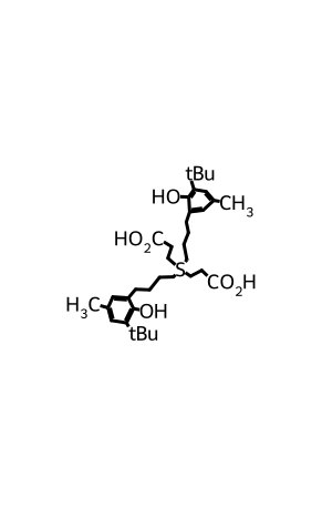 Cc1cc(CCCCS(CCCCc2cc(C)cc(C(C)(C)C)c2O)(CCC(=O)O)CCC(=O)O)c(O)c(C(C)(C)C)c1